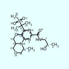 C[C@H](O)CNC(=O)c1nc2c(c(C(C)(C)S(C)(=O)=O)n1)OCC1COC[C@@H](C)N21